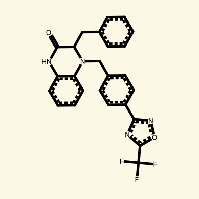 O=C1Nc2ccccc2N(Cc2ccc(-c3noc(C(F)(F)F)n3)cc2)C1Cc1ccccc1